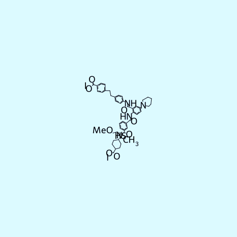 COCCN(C1CCC(C(=O)OI)CC1)[SH](C)(=O)c1cccc(C(=O)Nc2ccc(N3CCCCC3)cc2C(=O)Nc2ccc(CCc3ccc(C(=O)OI)cc3)cc2)c1